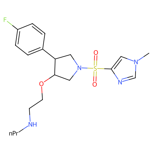 CCCNCCOC1CN(S(=O)(=O)c2cn(C)cn2)CC1c1ccc(F)cc1